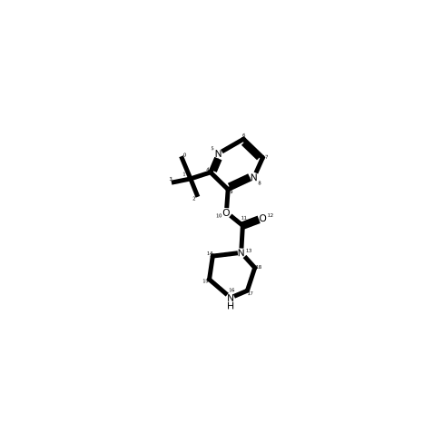 CC(C)(C)c1nccnc1OC(=O)N1CCNCC1